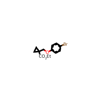 CCOC(=O)C1(COc2ccc(Br)cc2)CC1